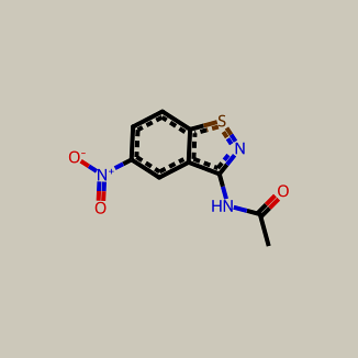 CC(=O)Nc1nsc2ccc([N+](=O)[O-])cc12